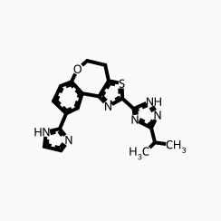 CC(C)c1n[nH]c(-c2nc3c(s2)CCOc2ccc(-c4ncc[nH]4)cc2-3)n1